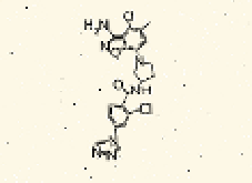 Cc1cc(N2CCC(NC(=O)c3ccc(-n4cnnc4)cc3Cl)C2)c2onc(N)c2c1Cl